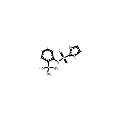 C[Si](C)(C)c1ccccc1OS(=O)(=O)c1ncc[nH]1